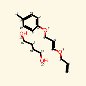 C=CCOC=CCOc1ccc(C)cc1.OCCCCO